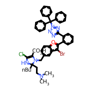 CCCCC1(CCN(C)C)NC(Cl)=C(C(=O)O)N1Cc1ccc2oc(-c3ccccc3-c3nnn(C(c4ccccc4)(c4ccccc4)c4ccccc4)n3)c(Br)c2c1